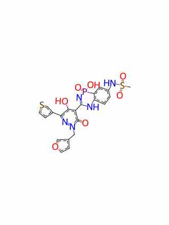 CS(=O)(=O)Nc1ccc2c(c1)P(=O)(O)N=C(c1c(O)c(-c3ccsc3)nn(Cc3ccoc3)c1=O)N2